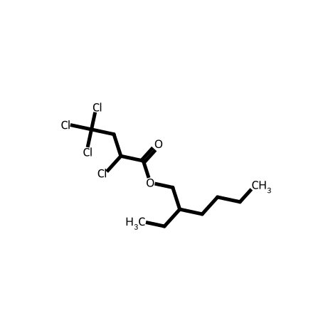 CCCCC(CC)COC(=O)C(Cl)CC(Cl)(Cl)Cl